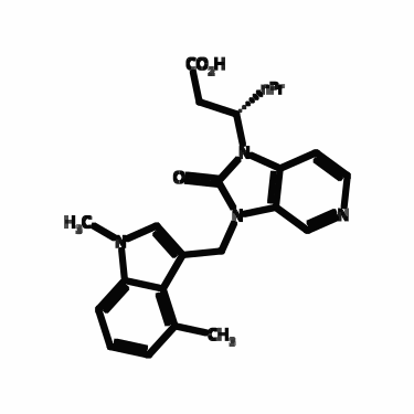 CCC[C@@H](CC(=O)O)n1c(=O)n(Cc2cn(C)c3cccc(C)c23)c2cnccc21